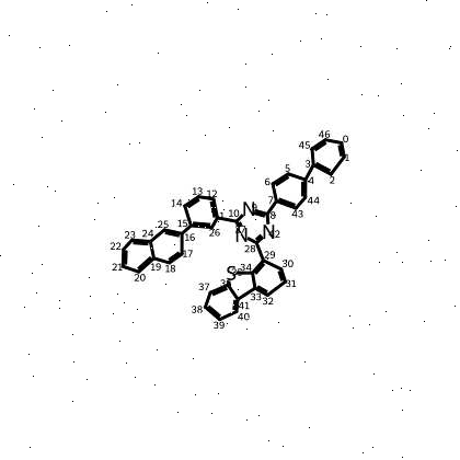 c1ccc(-c2ccc(-c3nc(-c4cccc(-c5ccc6ccccc6c5)c4)nc(-c4cccc5c4sc4ccccc45)n3)cc2)cc1